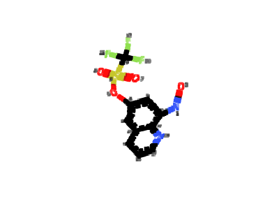 O=Nc1cc(OS(=O)(=O)C(F)(F)F)cc2cccnc12